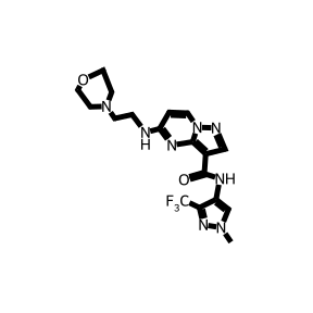 Cn1cc(NC(=O)c2cnn3ccc(NCCN4CCOCC4)nc23)c(C(F)(F)F)n1